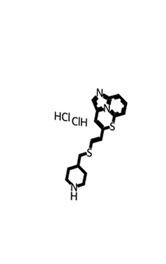 C1=C(/C=C/SCC2CCNCC2)Sc2cccc3ncc1n23.Cl.Cl